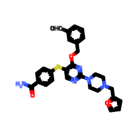 NC(=O)c1ccc(Sc2cnc(N3CCN(Cc4ccco4)CC3)nc2OCc2cccc(C=O)c2)cc1